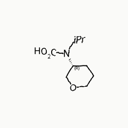 CC(C)N(C(=O)O)[C@@H]1CCCOC1